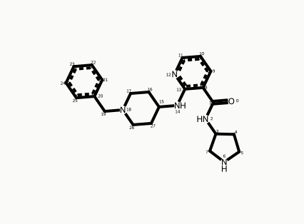 O=C(NC1CCNC1)c1cccnc1NC1CCN(Cc2ccccc2)CC1